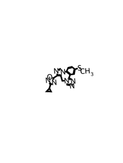 CSc1ccc2c(c1)-c1nncn1Cc1c(-c3nc(C4CC4)no3)ncn1-2